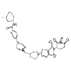 C[C@@H]1CCC[C@H](NC(=O)c2ccc(N3CCN(CC4CCN(c5ccc6c(c5)C(=O)N(C5CCC(=O)NC5=O)C6=O)CC4)CC3)cc2)C1